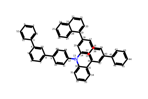 c1ccc(-c2cccc(-c3ccc(N(c4cccc(-c5cccc6ccccc56)c4)c4ccccc4-c4cccc(-c5ccccc5)c4)cc3)c2)cc1